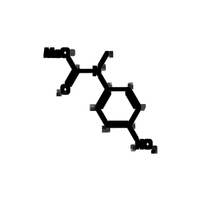 [CH2]OC(=O)N(C)c1ccc([N+](=O)[O-])cc1